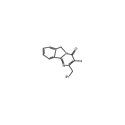 CC(C)Cc1nc2n(c(=O)c1I)Cc1ccccc1-2